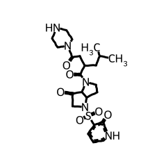 CC(C)CC(CC(=O)N1CCNCC1)C(=O)N1CCC2C1C(=O)CN2S(=O)(=O)c1ccc[nH]c1=O